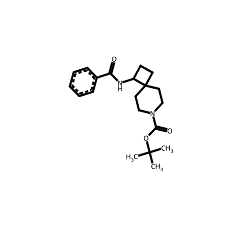 CC(C)(C)OC(=O)N1CCC2(CCC2NC(=O)c2ccccc2)CC1